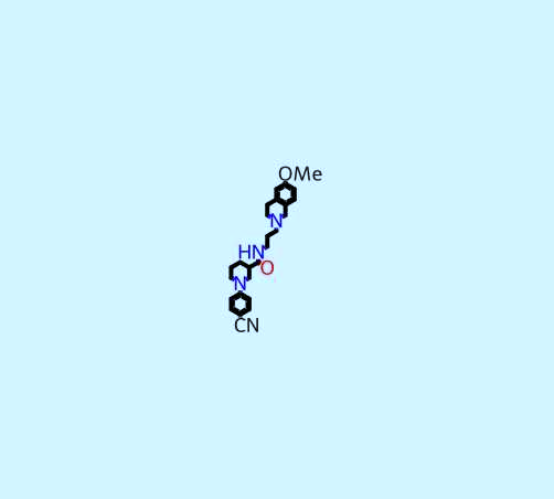 COc1ccc2c(c1)CCN(CCCNC(=O)C1CCCN(c3ccc(C#N)cc3)C1)C2